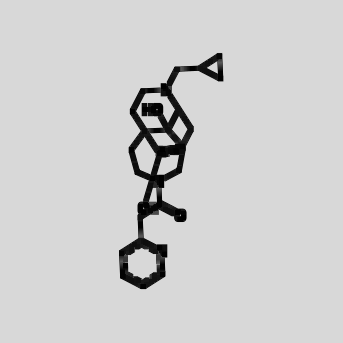 O=C(Cc1ccccn1)N1CCC23CCN(CC4CC4)C(Cc4ccc(O)cc42)C3(O)CC1